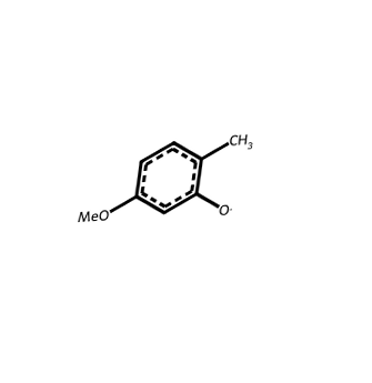 COc1ccc(C)c([O])c1